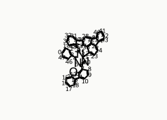 c1ccc(-c2nc(-c3cccc4c3oc3ccccc34)nc(-c3ccc4c5c(cc6c7ccccc7sc6c35)-c3ccccc3-4)n2)cc1